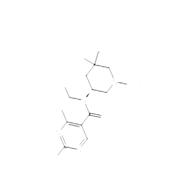 CC(C)CN(C(=O)c1cnc(C(C)(C)C)nc1Cl)[C@@H]1CN(C(=O)O)CC(C)(C(=O)O)C1